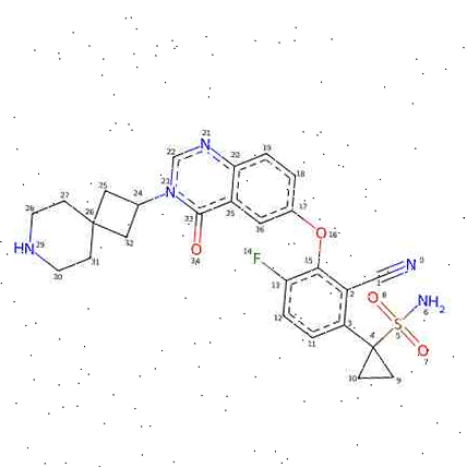 N#Cc1c(C2(S(N)(=O)=O)CC2)ccc(F)c1Oc1ccc2ncn(C3CC4(CCNCC4)C3)c(=O)c2c1